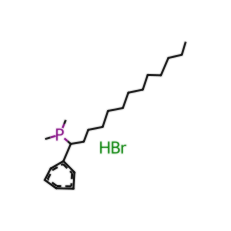 Br.CCCCCCCCCCCCC(c1ccccc1)P(C)C